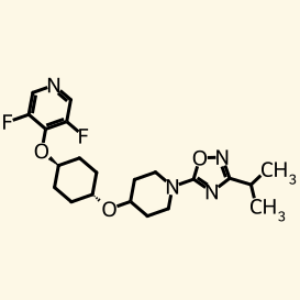 CC(C)c1noc(N2CCC(O[C@H]3CC[C@H](Oc4c(F)cncc4F)CC3)CC2)n1